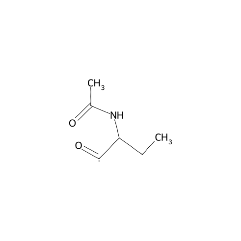 CCC([C]=O)NC(C)=O